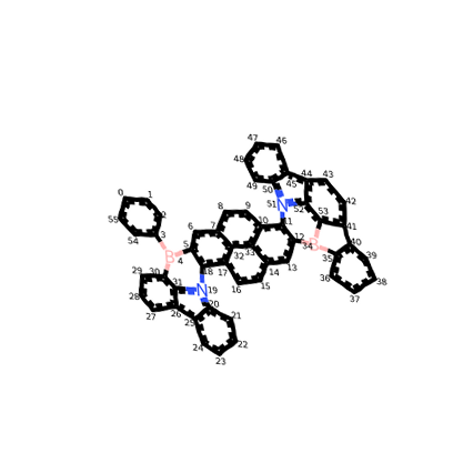 c1ccc(B2c3cc4ccc5c6c(cc7ccc(c3-n3c8ccccc8c8cccc2c83)c4c75)B2c3ccccc3-c3ccc4c5ccccc5n-6c4c32)cc1